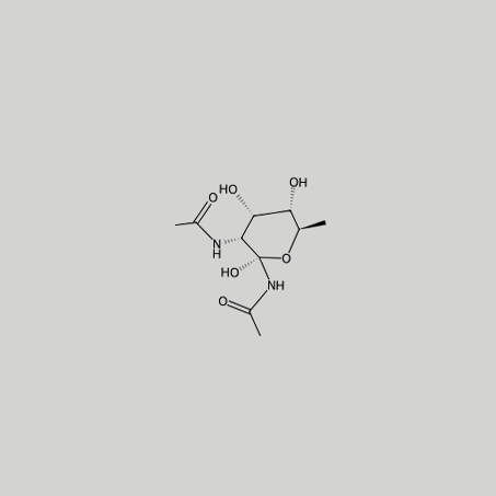 CC(=O)N[C@@H]1[C@H](O)[C@H](O)[C@@H](C)O[C@@]1(O)NC(C)=O